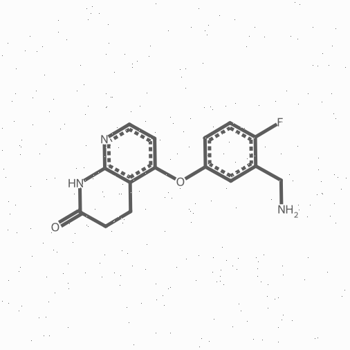 NCc1cc(Oc2ccnc3c2CCC(=O)N3)ccc1F